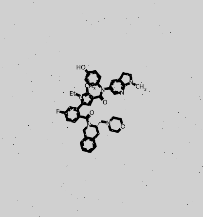 CCn1c(-c2cc(F)ccc2C(=O)N2Cc3ccccc3C[C@H]2CN2CCOCC2)cc(C(=O)N(c2ccc(O)cc2)c2cnc3c(c2)CCN3C)c1C